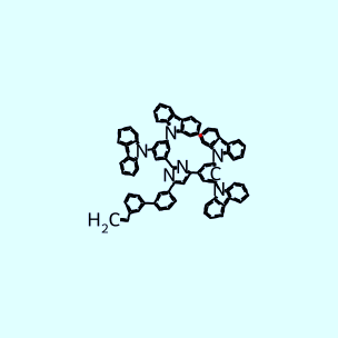 C=Cc1cccc(-c2cccc(-c3cc(-c4cc(-n5c6ccccc6c6ccccc65)cc(-n5c6ccccc6c6ccccc65)c4)nc(-c4cc(-n5c6ccccc6c6ccccc65)cc(-n5c6ccccc6c6ccccc65)c4)n3)c2)c1